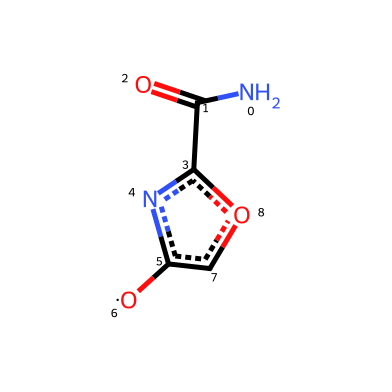 NC(=O)c1nc([O])co1